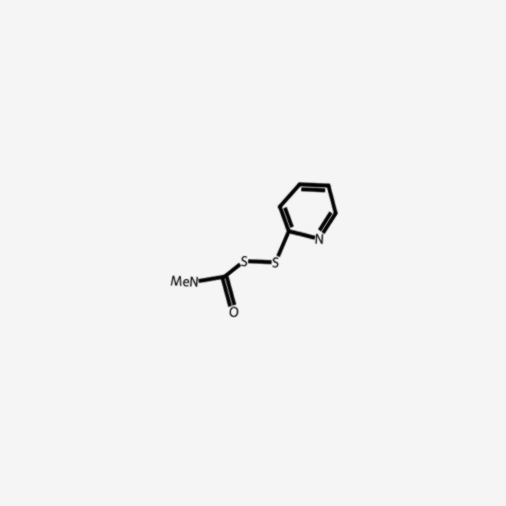 CNC(=O)SSc1ccccn1